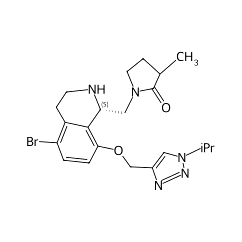 CC1CCN(C[C@H]2NCCc3c(Br)ccc(OCc4cn(C(C)C)nn4)c32)C1=O